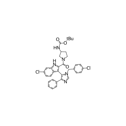 CC(C)(C)OC(=O)NC1CCN(C(=O)c2[nH]c3cc(Cl)ccc3c2-c2c(-c3ccccc3)ncn2Cc2ccc(Cl)cc2)C1